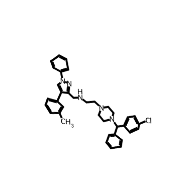 Cc1cccc(-c2cn(-c3ccccc3)nc2CNCCN2CCN(C(c3ccccc3)c3ccc(Cl)cc3)CC2)c1